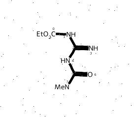 CCOC(=O)NC(=N)NC(=O)NC